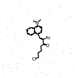 CC(=O)/C(=C\c1ccc(N(C)C)c2ccccc12)C(=O)CCCCCl